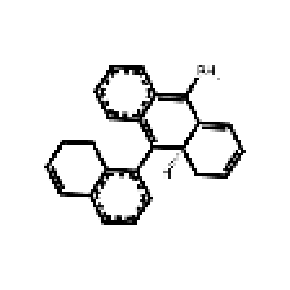 BC1=c2ccccc2=C(c2cccc3c2CCC=C3)[C@@H]2CC=CC=C12